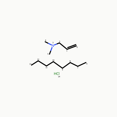 C=CCN(C)C.CCCCCCCC.Cl